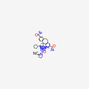 CN(C)C(=O)c1ccc2c(c1)CCc1cc(C(=O)N(C)C)ccc1C2(C[C@H](NCC(=O)N1CCC[C@H]1C#N)C1CCCC1)c1nnn[nH]1